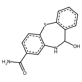 NC(=O)c1ccc2c(c1)NC(O)c1ccccc1S2